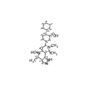 CCOc1cc(C(=O)N(C)[C@@H](C)c2c[n+](O)c(C)c3cn[nH]c23)ccc1-c1ccccc1